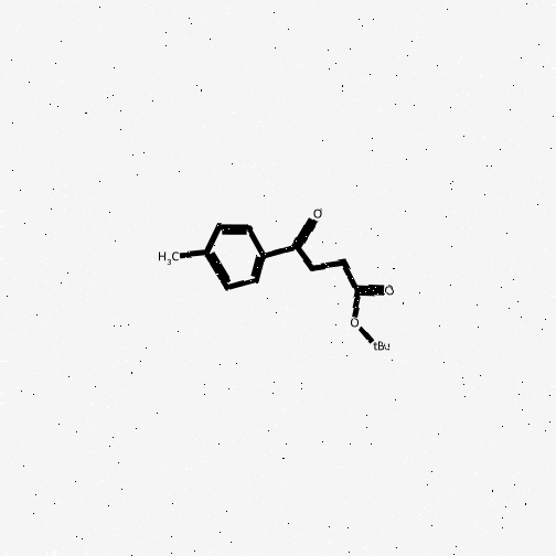 Cc1ccc(C(=O)CCC(=O)OC(C)(C)C)cc1